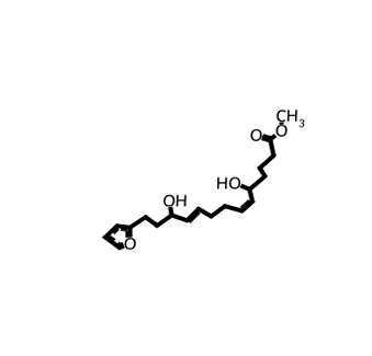 COC(=O)CCCC(O)/C=C\CC/C=C/C(O)CCc1ccco1